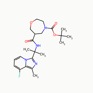 Cc1nc(C(C)(C)NC(=O)C2COCCN(C(=O)OC(C)(C)C)C2)n2cccc(F)c12